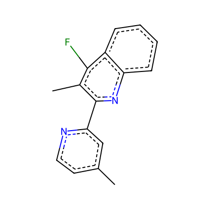 Cc1ccnc(-c2nc3ccccc3c(F)c2C)c1